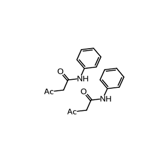 CC(=O)CC(=O)Nc1ccccc1.CC(=O)CC(=O)Nc1ccccc1